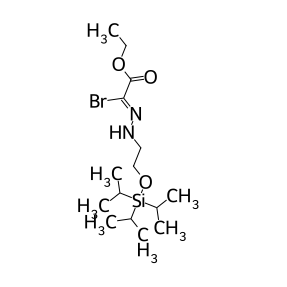 CCOC(=O)C(Br)=NNCCO[Si](C(C)C)(C(C)C)C(C)C